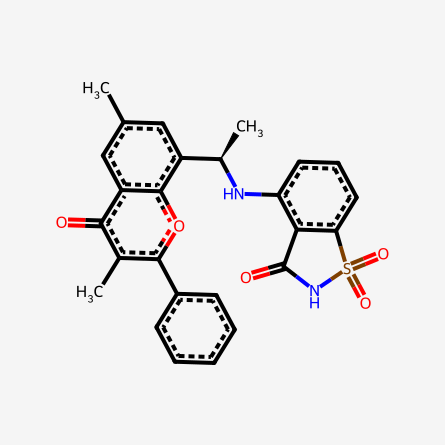 Cc1cc([C@@H](C)Nc2cccc3c2C(=O)NS3(=O)=O)c2oc(-c3ccccc3)c(C)c(=O)c2c1